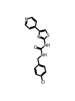 O=C(NCc1ccc(Cl)cc1)Nc1nc(-c2ccncc2)cs1